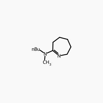 CCCCN(C)C1=NCCCCC1